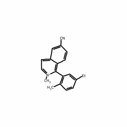 CCc1ccc(C)c(-c2c3ccc(C#N)cc3cc[n+]2C)c1